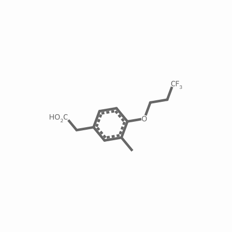 Cc1cc(CC(=O)O)ccc1OCCC(F)(F)F